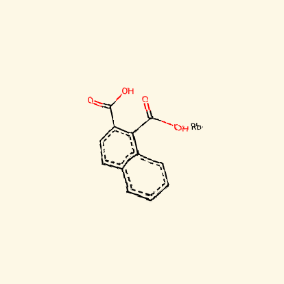 O=C(O)c1ccc2ccccc2c1C(=O)O.[Rb]